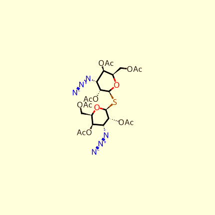 CC(=O)OC[C@H]1O[C@@H](S[C@@H]2O[C@H](COC(C)=O)[C@H](OC(C)=O)[C@@H](N=[N+]=[N-])[C@H]2OC(C)=O)[C@H](OC(C)=O)[C@H](N=[N+]=[N-])[C@H]1OC(C)=O